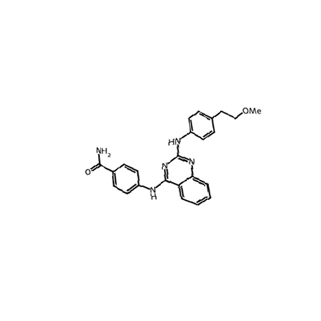 COCCc1ccc(Nc2nc(Nc3ccc(C(N)=O)cc3)c3ccccc3n2)cc1